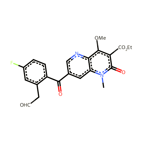 CCOC(=O)c1c(OC)c2ncc(C(=O)c3ccc(F)cc3CC=O)cc2n(C)c1=O